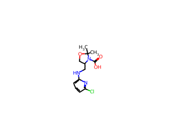 CC1(C)OCC(CNc2cccc(Cl)n2)N1C(=O)O